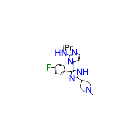 CC(C)Nc1nccc(-c2[nH]c(C3CCN(C)CC3)nc2-c2ccc(F)cc2)n1